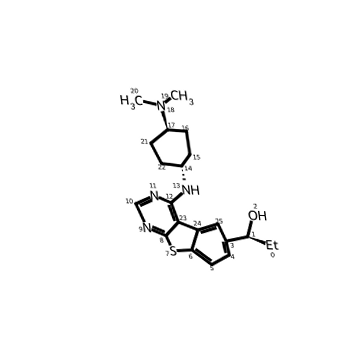 CC[C@H](O)c1ccc2sc3ncnc(N[C@H]4CC[C@H](N(C)C)CC4)c3c2c1